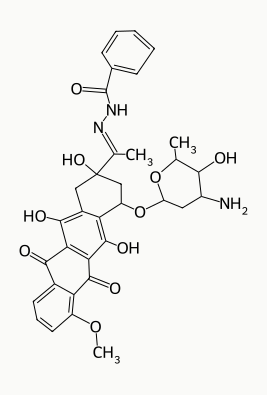 COc1cccc2c1C(=O)c1c(O)c3c(c(O)c1C2=O)CC(O)(/C(C)=N/NC(=O)c1ccccc1)CC3OC1CC(N)C(O)C(C)O1